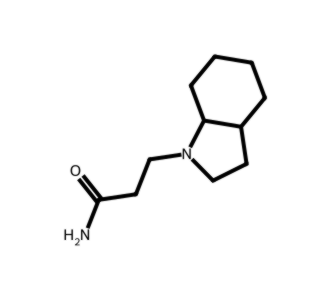 NC(=O)CCN1CCC2CCCCC21